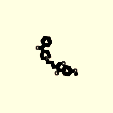 COc1ccc2c(=O)c(CCCN3CCC(C(=O)c4ccccc4)CC3)coc2c1